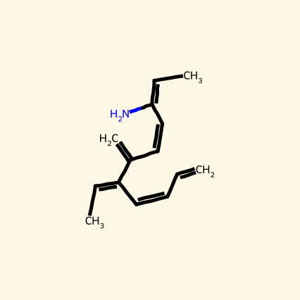 C=C/C=C\C(=C/C)C(=C)/C=C\C(N)=C/C